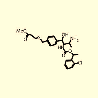 COC(=O)CCSCc1ccc(C(O)C(NC(=O)OC(C)c2ccccc2Cl)C(C)N)cc1